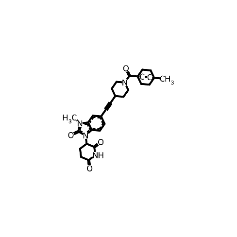 Cn1c(=O)n(C2CCC(=O)NC2=O)c2ccc(C#CC3CCN(C(=O)C45CCC(C)(CC4)CC5)CC3)cc21